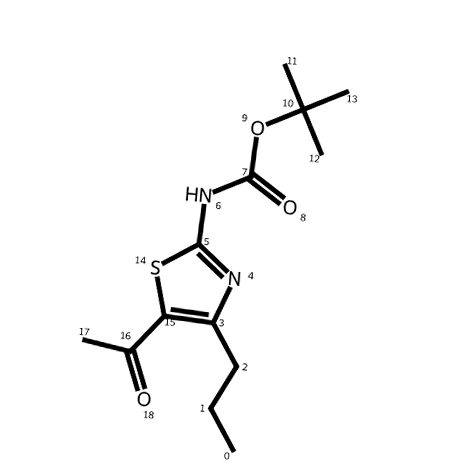 CCCc1nc(NC(=O)OC(C)(C)C)sc1C(C)=O